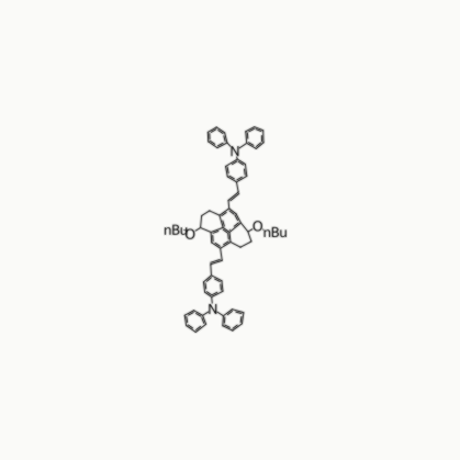 CCCCOC1CCc2c(/C=C/c3ccc(N(c4ccccc4)c4ccccc4)cc3)cc3c4c(c(/C=C/c5ccc(N(c6ccccc6)c6ccccc6)cc5)cc1c24)CCC3OCCCC